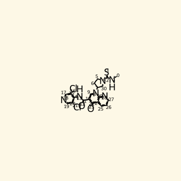 CNC(=S)N1CC[C@H](n2cc(C(=O)Nc3c(Cl)cncc3Cl)c(=O)c3cccnc32)C1